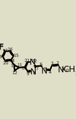 C=N/C=C\C=N/Cc1ncc(C2CC2c2ccc(F)cc2)cn1